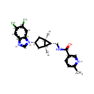 Cc1ccc(C(=O)NC[C@@H]2[C@H]3C[C@H](n4cnc5cc(F)c(F)cc54)C[C@@H]23)cn1